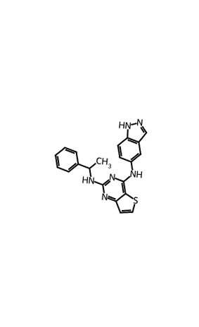 CC(Nc1nc(Nc2ccc3[nH]ncc3c2)c2sccc2n1)c1ccccc1